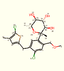 COCc1cc(Cl)c(Cc2cc(C)c(Cl)s2)cc1[C@]1(C)O[C@H](C)[C@@H](O)[C@H](O)[C@H]1O